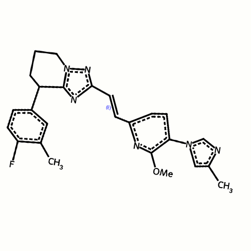 COc1nc(/C=C/c2nc3n(n2)CCCC3c2ccc(F)c(C)c2)ccc1-n1cnc(C)c1